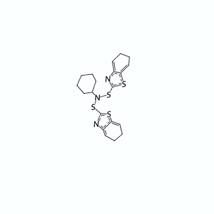 C1=c2nc(SN(Sc3nc4c(s3)=CCCC=4)C3CCCCC3)sc2=CCC1